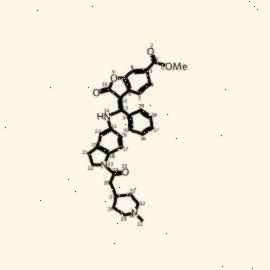 COC(=O)c1ccc2c(c1)OC(=O)/C2=C(\Nc1ccc2c(c1)CCN2C(=O)CC1CCN(C)CC1)c1ccccc1